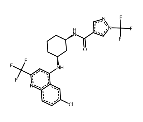 O=C(N[C@@H]1CCC[C@H](Nc2cc(C(F)(F)F)nc3ccc(Cl)cc23)C1)c1cnn(C(F)(F)F)c1